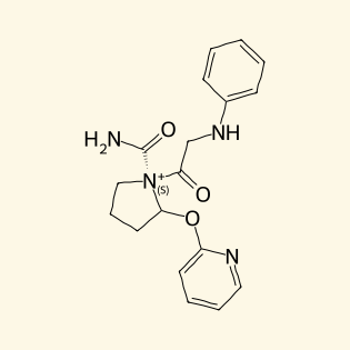 NC(=O)[N@@+]1(C(=O)CNc2ccccc2)CCCC1Oc1ccccn1